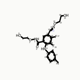 O=C(NOCCO)c1cc(/C=N/OCCO)c(F)c(F)c1Nc1ccc(I)cc1